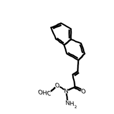 NN(OC=O)C(=O)C=Cc1ccc2ccccc2c1